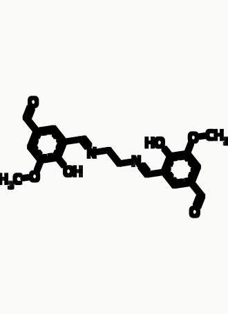 COc1cc(C=O)cc(/C=N/CC/N=C/c2cc(C=O)cc(OC)c2O)c1O